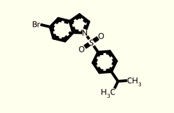 CC(C)c1ccc(S(=O)(=O)n2ccc3cc(Br)ccc32)cc1